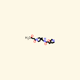 CC(=O)CCC(=O)N1CCC2(CC1)CC2CNC(=O)c1cc2ccncc2o1